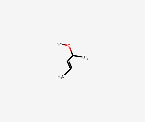 [CH2]CCOC(C)C=CC